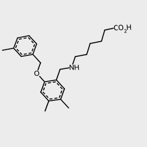 Cc1cccc(COc2cc(C)c(C)cc2CNCCCCCC(=O)O)c1